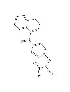 CC(C)N(C(C)C)C(C)Oc1ccc(C(=O)C2=CCCc3ccccc32)cc1